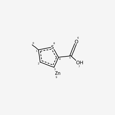 Cc1ccc(C(=O)O)s1.[Zn]